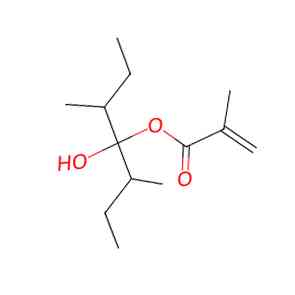 C=C(C)C(=O)OC(O)(C(C)CC)C(C)CC